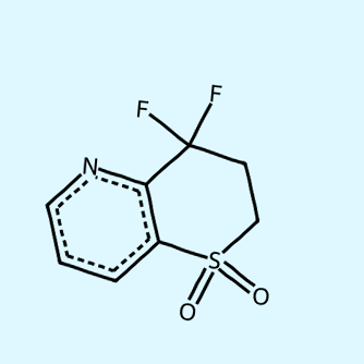 O=S1(=O)CCC(F)(F)c2ncccc21